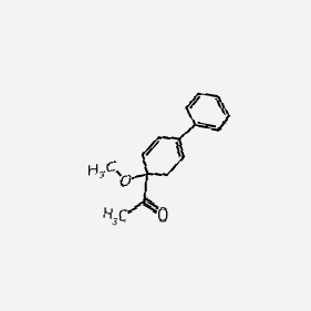 COC1(C(C)=O)C=CC(c2ccccc2)=CC1